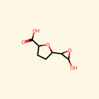 O=C(O)C1CCC(C2OC2O)O1